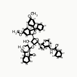 CCC(O[C@@H]1[C@H](O)[C@@H](COC(c2ccccc2)(c2ccc(OC)cc2)c2ccc(OC)cc2)O[C@H]1n1cnc2c(NC(=O)c3ccccc3)ncnc21)N1C(=O)c2ccccc2C1=O